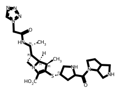 C[C@@H](NC(=O)Cn1cnnn1)[C@H]1CN2C(C(=O)O)=C(S[C@@H]3CNC(C(=O)N4CCC5CNCC54)C3)[C@H](C)[C@H]12